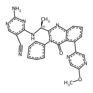 COc1cnc(-c2cccc3nc([C@H](C)Nc4nc(N)ncc4C#N)n(-c4ccccc4)c(=O)c23)cn1